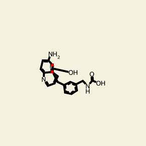 NC1=CC=C2N=CC=CC23C1=NC(O)N3Cc1cccc(CNC(=O)O)c1